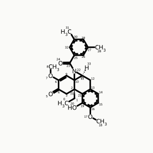 CC[C@@]12CC(=O)C(OC)=CC13[C@H](Cc1ccc(OC)c(O)c12)N3C(=O)c1cc(C)cc(C)c1